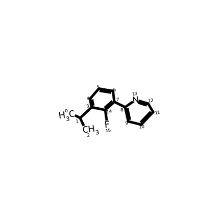 CC(C)c1cccc(-c2ccccn2)c1F